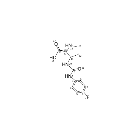 O=C(Nc1ccc(F)cc1)NC1CCN[C@@H]1C(=O)O